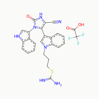 N#Cc1[nH]c(=O)n(-c2c[nH]c3ccccc23)c1-c1cn(CCCSC(=N)N)c2ccccc12.O=C(O)C(F)(F)F